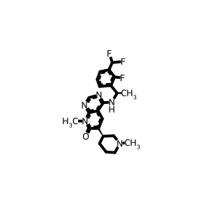 C[C@@H](Nc1ncnc2c1cc([C@@H]1CCCN(C)C1)c(=O)n2C)c1cccc(C(F)F)c1F